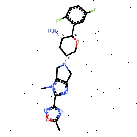 Cc1nc(-c2nc3c(n2C)CN([C@H]2CO[C@H](c4cc(F)ccc4F)[C@@H](N)C2)C3)no1